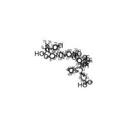 Cc1c(C(=O)O)c(-c2cccc(N3CCN(c4ccc(N5CCO[P@]5(=O)c5ccc(NC(CCN6CCC(C(=O)O)CC6)CSc6ccccc6)c(S(=O)(=O)C(F)(F)F)c5)cc4)CC3)c2)c(-c2ccc(Cl)cc2)n1C(C)C